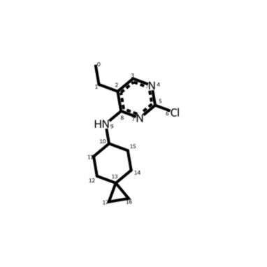 CCc1cnc(Cl)nc1NC1CCC2(CC1)CC2